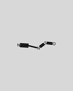 N#CN=S=O